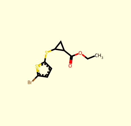 CCOC(=O)C1CC1Sc1ccc(Br)s1